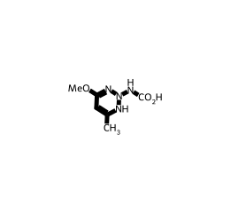 COC1=NN(NC(=O)O)NC(C)=C1